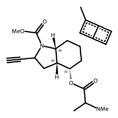 C#CC1C[C@H]2[C@@H](OC(=O)C(C)NC)CCC[C@H]2N1C(=O)OC.Cc1cc2ccc1-2